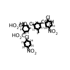 CC1(C(=O)O)C=CC=C(C(=O)O)C1.Cc1cc(C(=O)O)cc(C(=O)O)c1.O=[N+]([O-])c1ccc(Cl)cc1.O=[N+]([O-])c1ccc(Cl)cc1